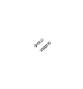 [C]=O.[N]=O